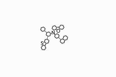 c1ccc(-c2cc(-c3ccc4c(c3)sc3ccccc34)cc(N(c3ccc(-c4cccc5ccccc45)cc3)c3cccc4c3oc3ccccc34)c2)cc1